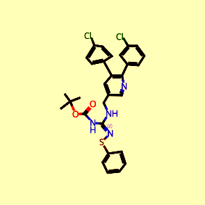 CC(C)(C)OC(=O)N/C(=N\Sc1ccccc1)NCc1cnc(-c2cccc(Cl)c2)c(-c2ccc(Cl)cc2)c1